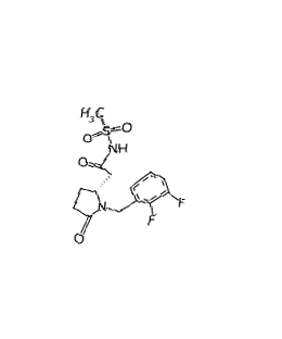 CS(=O)(=O)NC(=O)C[C@H]1CCC(=O)N1Cc1cccc(F)c1F